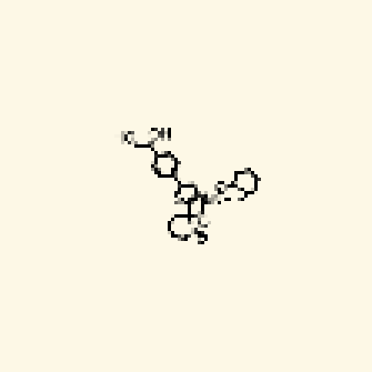 O=C(C[C@]1(c2ccc(-c3ccc(C(O)CO)cc3)s2)CCCCS1(=O)=O)NOC1CCCCO1